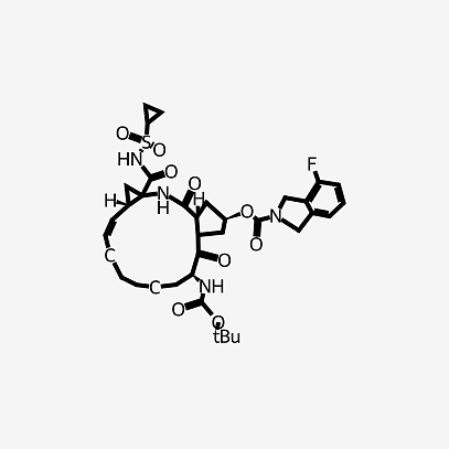 CC(C)(C)OC(=O)N[C@H]1CCCCC/C=C\[C@@H]2CC2(C(=O)NS(=O)(=O)C2CC2)NC(=O)[C@@H]2C[C@@H](OC(=O)N3Cc4cccc(F)c4C3)CC2C1=O